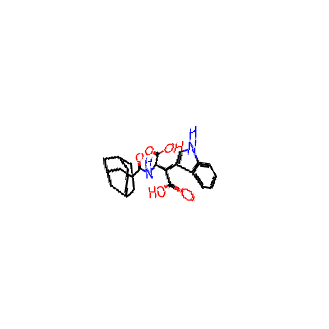 O=C(O)C(NC(=O)C12CC3CC(CC(C3)C1)C2)C(C(=O)O)c1c[nH]c2ccccc12